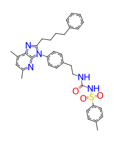 Cc1ccc(S(=O)(=O)NC(=O)NCCc2ccc(-n3c(CCCCc4ccccc4)nc4c(C)cc(C)nc43)cc2)cc1